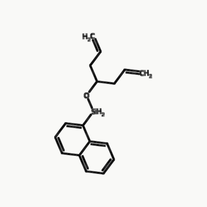 C=CCC(CC=C)O[SiH2]c1cccc2ccccc12